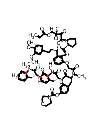 C=CC(=O)OCC(C)(C)C(=O)C(=O)N1CCCC[C@H]1C(=O)O[C@H](CCc1ccc(OC)c(OC)c1)c1cccc(OCC(=O)N(C)[C@@H](Cc2ccc(OC(=O)N3CCOCC3)cc2)C(=O)N[C@H](Cc2ccccc2)C(=O)N(C)CC(=O)N[C@H](Cc2ccccc2)C(=O)N(C)CCC)c1F